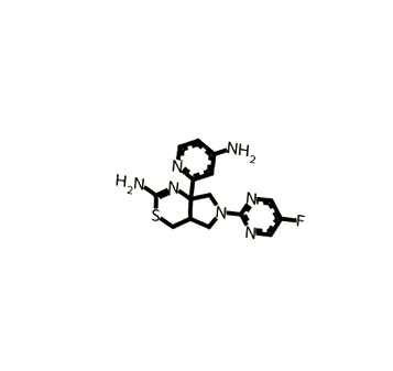 NC1=NC2(c3cc(N)ccn3)CN(c3ncc(F)cn3)CC2CS1